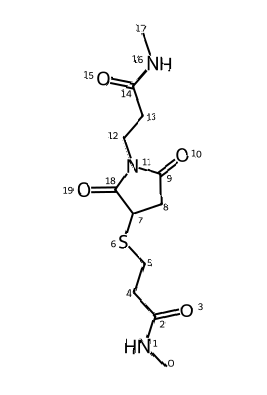 CNC(=O)CCSC1CC(=O)N(CCC(=O)NC)C1=O